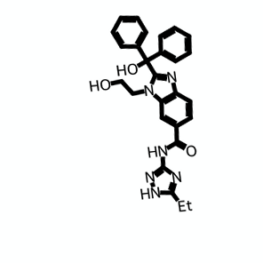 CCc1nc(NC(=O)c2ccc3nc(C(O)(c4ccccc4)c4ccccc4)n(CCO)c3c2)n[nH]1